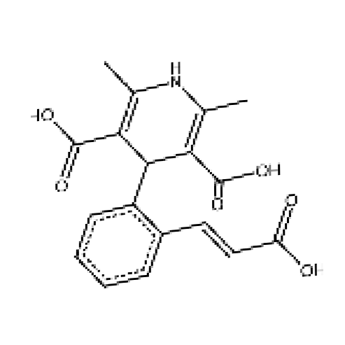 CC1=C(C(=O)O)C(c2ccccc2/C=C/C(=O)O)C(C(=O)O)=C(C)N1